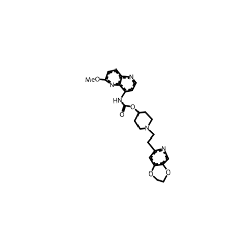 COc1ccc2nccc(NC(=O)OC3CCN(CCc4cc5c(cn4)OCCO5)CC3)c2n1